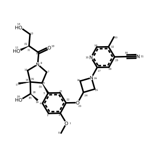 COc1ccc([C@@H]2CN(C(=O)[C@@H](O)CO)C[C@@]2(C)[C@@H](C)O)cc1OC1CN(c2cc(C#N)c(C)cn2)C1